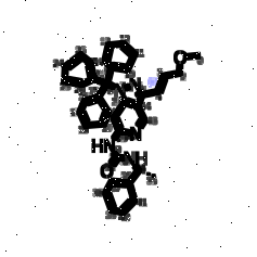 COC/C=C/c1nn(C(c2ccccc2)(c2ccccc2)c2ccccc2)c2cc(NC(=O)N[C@H](C)c3ccccc3)ncc12